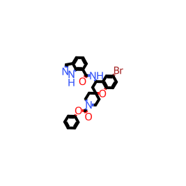 O=C(NC1CC2(CCN(C(=O)Oc3ccccc3)CC2)Oc2ccc(Br)cc21)c1cccc2cn[nH]c12